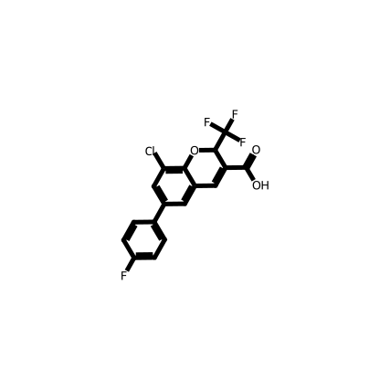 O=C(O)C1=Cc2cc(-c3ccc(F)cc3)cc(Cl)c2OC1C(F)(F)F